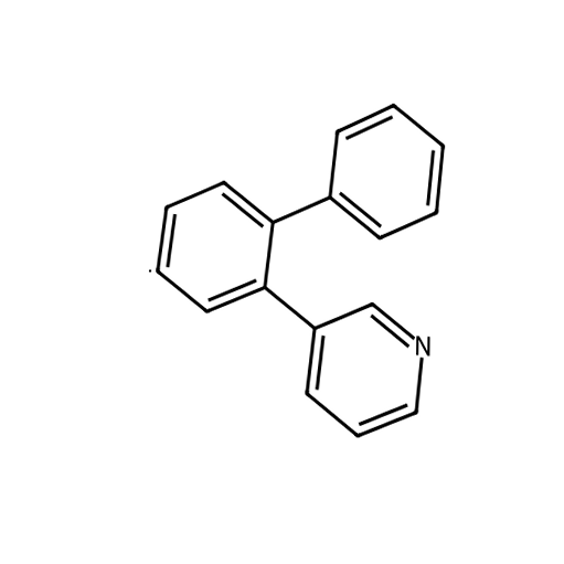 [c]1ccc(-c2ccccc2)c(-c2cccnc2)c1